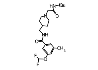 Cc1cc(OC(F)F)cc(C(=O)NCC2CCN(CC(=O)NC(C)(C)C)CC2)c1